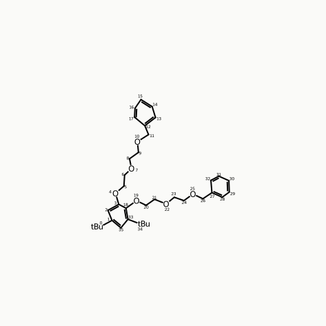 CC(C)(C)c1cc(OCCOCCOCc2ccccc2)c(OCCOCCOCc2ccccc2)c(C(C)(C)C)c1